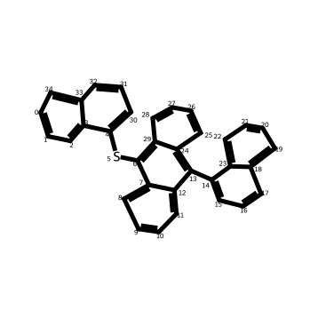 c1ccc2c(Sc3c4ccccc4c(-c4cccc5ccccc45)c4ccccc34)cccc2c1